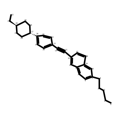 CCCCCc1ccc2cc(C#Cc3ccc([C@H]4CC[C@H](CC)CC4)cc3)ccc2c1